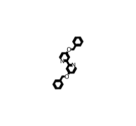 c1ccc(COc2ccnc(-c3cc(OCc4ccccc4)ccn3)c2)cc1